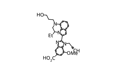 C#CCn1c(-c2cc3cccc4c3n2C(CC)CN4CCCO)nc2cc(C(=O)O)cc(OC)c21